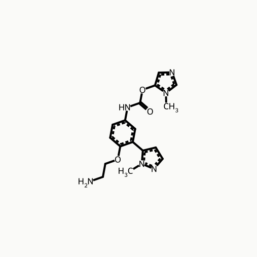 Cn1cncc1OC(=O)Nc1ccc(OCCN)c(-c2ccnn2C)c1